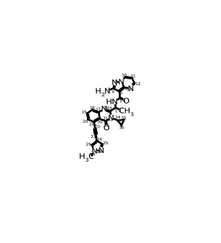 CC(NC(=O)c1c(N)nn2cccnc12)c1nc2cccc(C#Cc3cnn(C)c3)c2c(=O)n1C1CC1